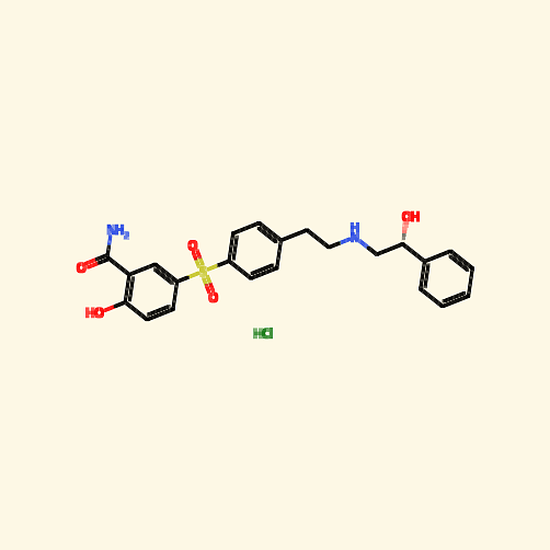 Cl.NC(=O)c1cc(S(=O)(=O)c2ccc(CCNC[C@H](O)c3ccccc3)cc2)ccc1O